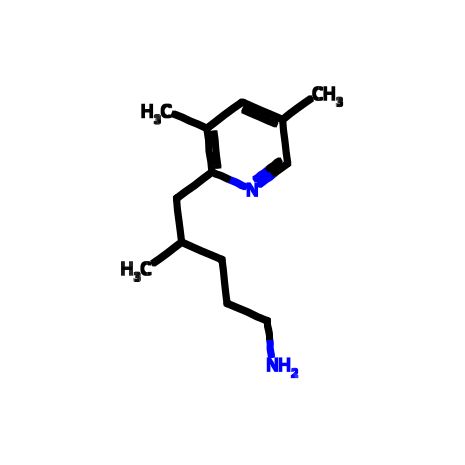 Cc1cnc(CC(C)CCCN)c(C)c1